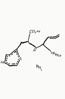 C=CC(CCCCC)NC(Cc1c[nH]cn1)C(=O)O.P